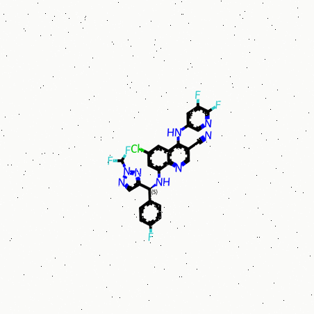 N#Cc1cnc2c(N[C@@H](c3ccc(F)cc3)c3cnn(C(F)F)n3)cc(Cl)cc2c1Nc1cnc(F)c(F)c1